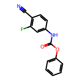 N#Cc1ccc(NC(=O)Oc2ccccc2)cc1F